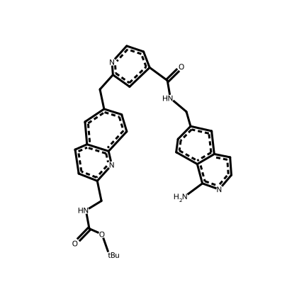 CC(C)(C)OC(=O)NCc1ccc2cc(Cc3cc(C(=O)NCc4ccc5c(N)nccc5c4)ccn3)ccc2n1